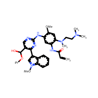 C=CC(=O)Nc1cc(Nc2ncc(C(O)OC(C)C)c(-c3cn(OC)c4ccccc34)n2)c(OC)cc1N(C)CCN(C)C